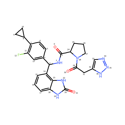 O=C(NC(c1ccc(C2CC2)c(F)c1)c1cccc2[nH]c(=O)[nH]c12)C1CCCN1C(=O)Cc1cnn[nH]1